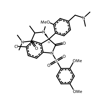 COc1ccc(S(=O)(=O)N2C(=O)[C@](c3ccc(CN(C)C)cc3OC)(N(C)C(C)C(=O)N(C)C)c3cc(Cl)ccc32)c(OC)c1